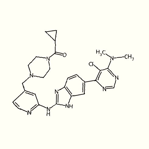 CN(C)c1ncnc(-c2ccc3nc(Nc4cc(CN5CCN(C(=O)C6CC6)CC5)ccn4)[nH]c3c2)c1Cl